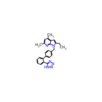 CCc1cc2c(C)cc(C)nc2n1Cc1ccc(-c2ccccc2-c2nnn[nH]2)cc1